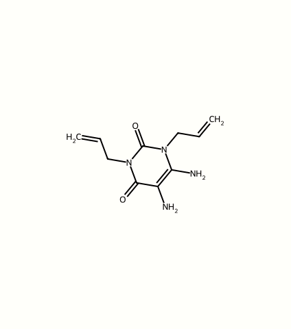 C=CCn1c(N)c(N)c(=O)n(CC=C)c1=O